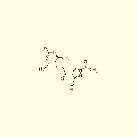 Cc1cc(N)nc(C)c1CNC(=O)c1cn(C(C)Cl)nc1C#N